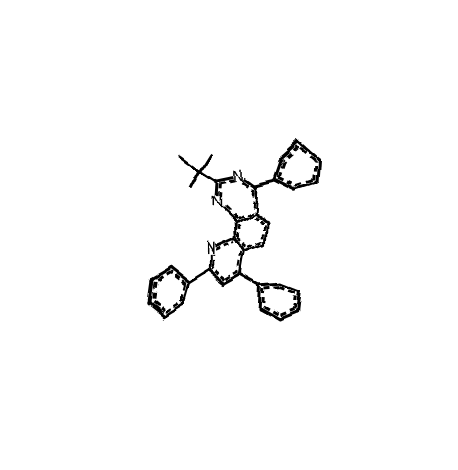 CC(C)(C)c1nc(-c2ccccc2)c2ccc3c(-c4ccccc4)cc(-c4ccccc4)nc3c2n1